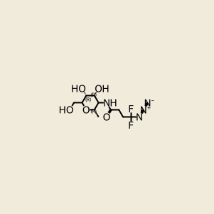 C[C@H]1OC(CO)[C@H](O)[C@H](O)C1NC(=O)CCC(F)(F)N=[N+]=[N-]